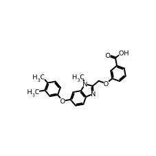 Cc1ccc(Oc2ccc3nc(COc4cccc(C(=O)O)c4)n(C)c3c2)cc1C